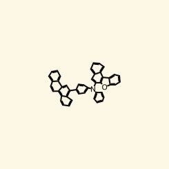 c1ccc(N(c2ccc(-c3cc4c5ccccc5ccc4c4ccccc34)cc2)c2cc3ccccc3c3c2oc2ccccc23)cc1